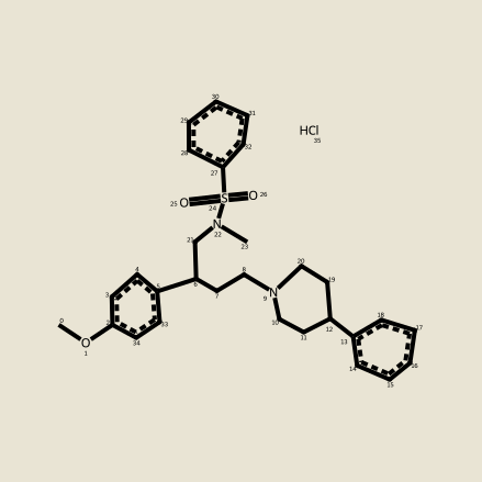 COc1ccc(C(CCN2CCC(c3ccccc3)CC2)CN(C)S(=O)(=O)c2ccccc2)cc1.Cl